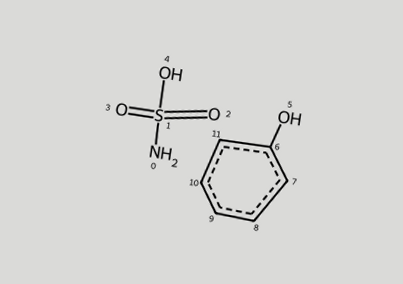 NS(=O)(=O)O.Oc1ccccc1